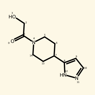 O=C(CO)N1CCC(c2ccn[nH]2)CC1